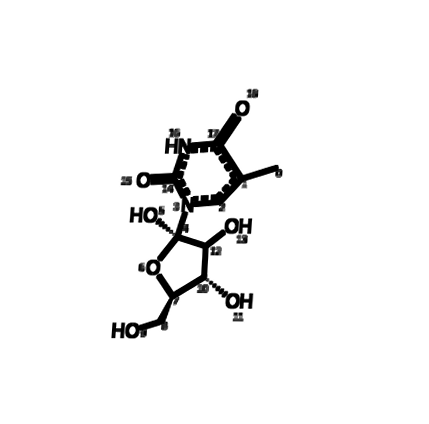 Cc1cn([C@]2(O)O[C@H](CO)[C@@H](O)C2O)c(=O)[nH]c1=O